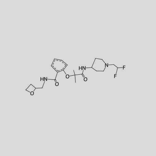 CC(C)(Oc1ccccc1C(=O)NCC1CCO1)C(=O)NC1CCN(CC(F)F)CC1